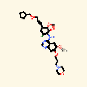 COc1cc2c(Nc3c(Cl)cc(C#CCOCC4CCCC4)c4c3OCO4)ncnc2cc1OCCCN1CCOCC1